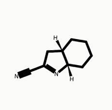 N#CC1=N[C@H]2CCCC[C@H]2C1